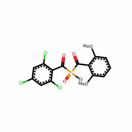 CCP(=O)(C(=O)c1c(Cl)cc(Cl)cc1Cl)C(=O)c1c(OC)cccc1OC